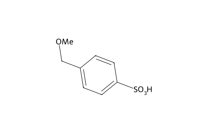 [CH2]OCc1ccc(S(=O)(=O)O)cc1